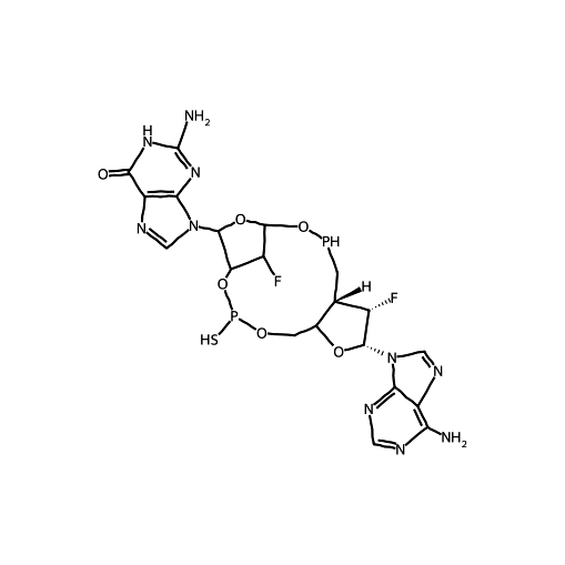 Nc1nc2c(ncn2C2OC3OPC[C@H]4C(COP(S)OC2C3F)O[C@@H](n2cnc3c(N)ncnc32)[C@H]4F)c(=O)[nH]1